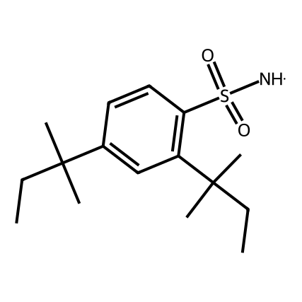 CCC(C)(C)c1ccc(S([NH])(=O)=O)c(C(C)(C)CC)c1